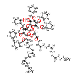 CC(C)CCC[C@@H](C)CCC[C@H](C)CCC[C@H](C)CCOC[C@@H](CO[C@H]1O[C@H](COCc2ccccc2)[C@@H](OCc2ccccc2)[C@H](OCc2ccccc2)[C@@H]1O[C@@H]1O[C@H](COCc2ccccc2)[C@@H](OCc2ccccc2)[C@H](OCc2ccccc2)[C@@H]1O)OCC[C@@H](C)CCC[C@@H](C)CCC[C@H](C)CCCC(C)C